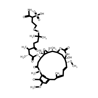 COc1cc2cc(c1Cl)N(C)C(=O)C[C@H](OC(=O)[C@H](C)C(C)C(=O)CCC(C)(C)SSCCC(C(N)=O)S(=O)(=O)O)[C@]1(C)O[C@H]1[C@H](C)[C@@H]1C[C@@](O)(NC(=O)O1)[C@H](OC)/C=C/C=C(\C)C2